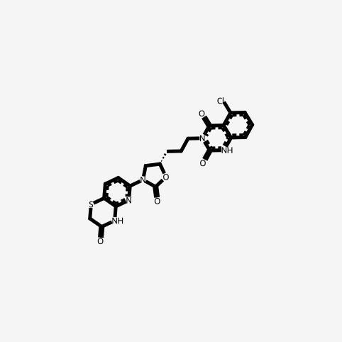 O=C1CSc2ccc(N3C[C@H](CCCn4c(=O)[nH]c5cccc(Cl)c5c4=O)OC3=O)nc2N1